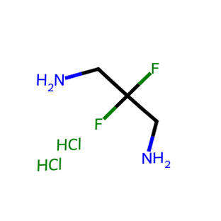 Cl.Cl.NCC(F)(F)CN